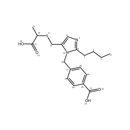 CCCCc1ncc(CSC(C)C(=O)O)n1Cc1ccc(C(=O)O)cc1